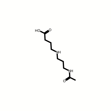 CC(=O)NCCCNCCCC(=O)O